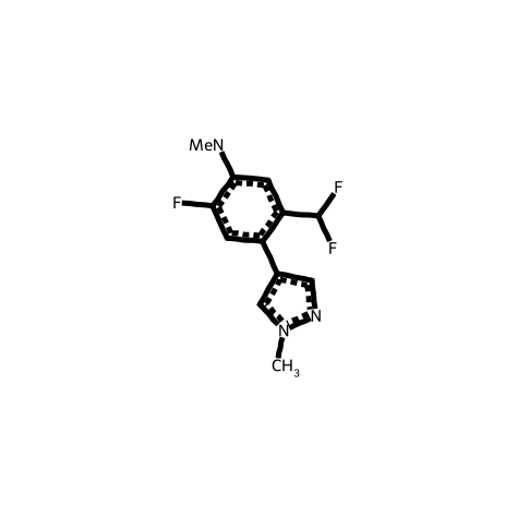 CNc1cc(C(F)F)c(-c2cnn(C)c2)cc1F